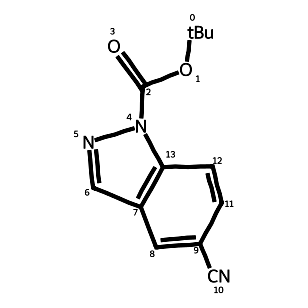 CC(C)(C)OC(=O)n1ncc2cc(C#N)ccc21